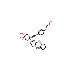 COc1ccc(C2(C#Cc3ccc(OCCO)cc3)CCC3(CC2)OCCO3)cc1OC1CCCC1